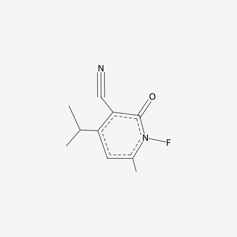 Cc1cc(C(C)C)c(C#N)c(=O)n1F